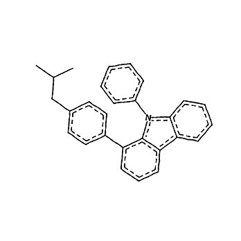 CC(C)Cc1ccc(-c2cccc3c4ccccc4n(-c4ccccc4)c23)cc1